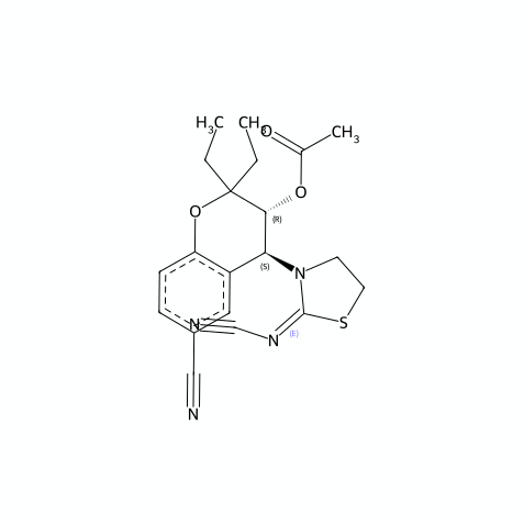 CCC1(CC)Oc2ccc(C#N)cc2[C@H](N2CCS/C2=N/C#N)[C@H]1OC(C)=O